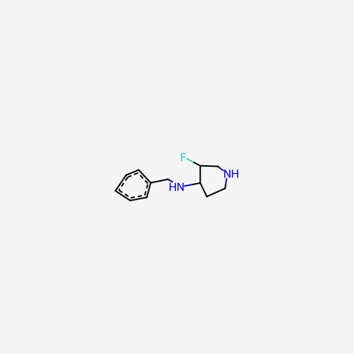 FC1CNCCC1NCc1ccccc1